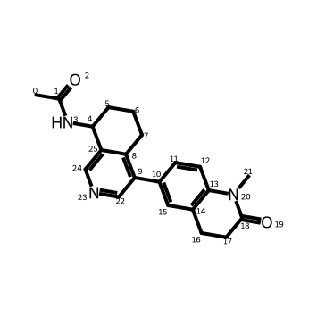 CC(=O)NC1CCCc2c(-c3ccc4c(c3)CCC(=O)N4C)cncc21